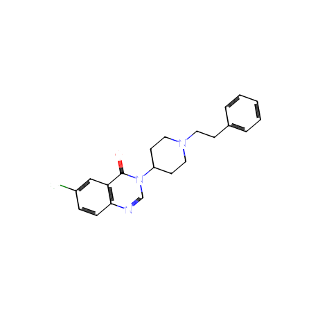 O=c1c2cc(Cl)ccc2ncn1C1CCN(CCc2ccccc2)CC1